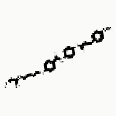 C=CC(=O)OCCCCOc1ccc(C(=O)Oc2ccc(OC(=O)/C=C/c3ccc(OC)cc3)cc2)cc1